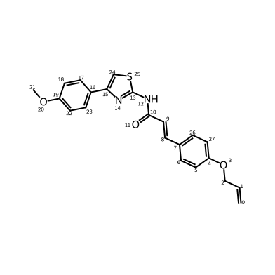 C=CCOc1ccc(C=CC(=O)Nc2nc(-c3ccc(OC)cc3)cs2)cc1